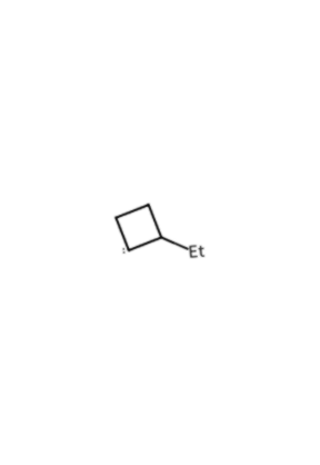 CCC1[C]CC1